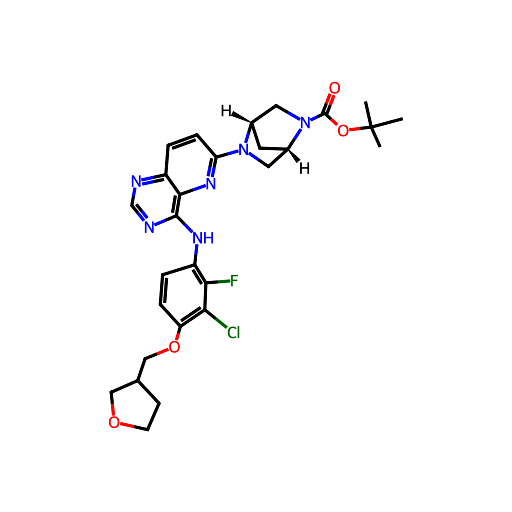 CC(C)(C)OC(=O)N1C[C@@H]2C[C@H]1CN2c1ccc2ncnc(Nc3ccc(OCC4CCOC4)c(Cl)c3F)c2n1